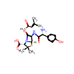 CC(=O)C=C(C)C.CC1(C)S[C@@H]2[C@H](NC(=O)[C@H](N)c3ccc(O)cc3)C(=O)N2[C@H]1C(=O)O